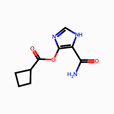 NC(=O)c1[nH]cnc1OC(=O)C1CCC1